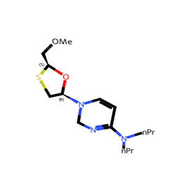 CCCN(CCC)C1=NCN([C@H]2CS[C@@H](COC)O2)C=C1